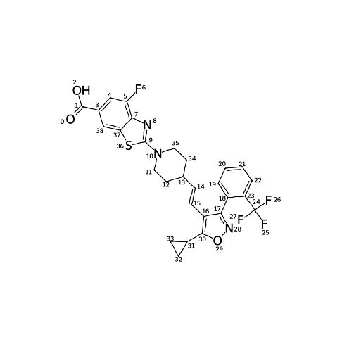 O=C(O)c1cc(F)c2nc(N3CCC(/C=C/c4c(-c5ccccc5C(F)(F)F)noc4C4CC4)CC3)sc2c1